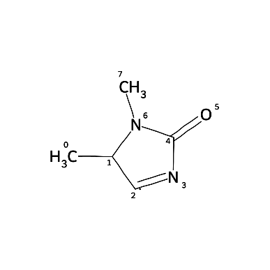 CC1[C]=NC(=O)N1C